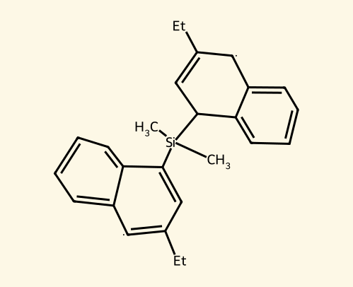 CCC1=CC([Si](C)(C)c2cc(CC)[c]c3ccccc23)c2ccccc2[CH]1